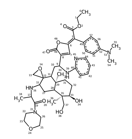 CCOC(=O)/C(=C1/C=C(C(CC2C3(CO3)C(NC(C)C(=O)N3CCOCC3)CC3[C@]2(C)CC[C@@H](O)[C@@]3(C)CO)Nc2ccccn2)C(=O)O1)c1ccc(N(C)C)cc1